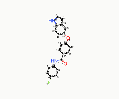 O=C(Nc1ccc(F)cc1)c1ccc(Oc2ccc3[nH]ccc3c2)cc1